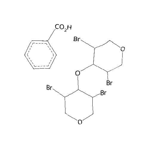 BrC1COCC(Br)C1OC1C(Br)COCC1Br.O=C(O)c1ccccc1